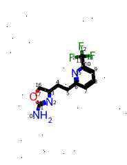 NC1=NC(CCc2cccc(C(F)(F)F)n2)CO1